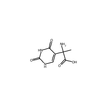 CC(N)(C(=O)O)c1c[nH]c(=O)[nH]c1=O